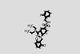 CCN(CC)c1nn(Cc2c(Cl)cccc2Cl)c2ccc(S(=O)(=O)NCc3ccccc3F)cc12